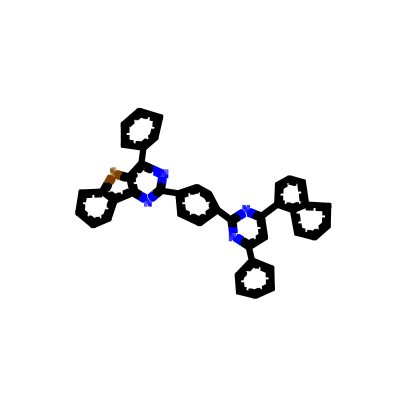 c1ccc(-c2cc(-c3cccc4ccccc34)nc(-c3ccc(-c4nc(-c5ccccc5)c5sc6ccccc6c5n4)cc3)n2)cc1